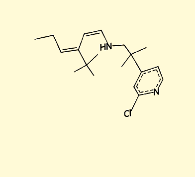 CC/C=C(\C=C/NCC(C)(C)c1ccnc(Cl)c1)C(C)(C)C